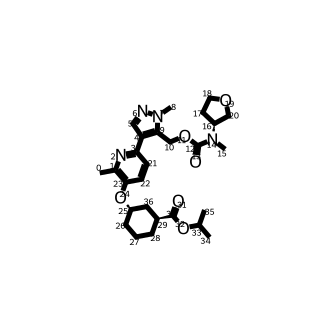 Cc1nc(-c2cnn(C)c2COC(=O)N(C)[C@@H]2CCOC2)ccc1O[C@H]1CCC[C@H](C(=O)OC(C)C)C1